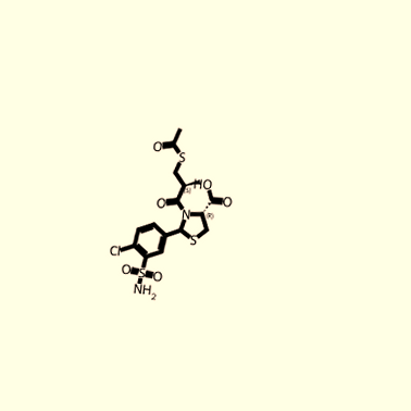 CC(=O)SC[C@@H](C)C(=O)N1C(c2ccc(Cl)c(S(N)(=O)=O)c2)SC[C@H]1C(=O)O